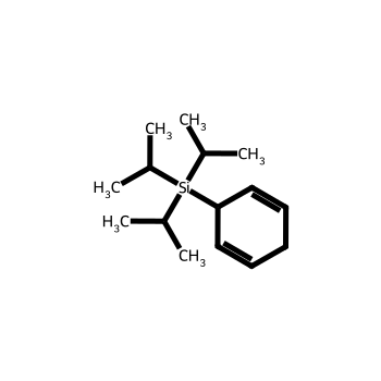 CC(C)[Si](C(C)C)(C(C)C)C1C=CCC=C1